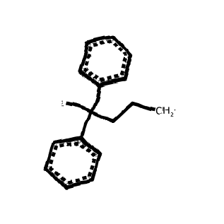 [C]C(CC[CH2])(c1ccccc1)c1ccccc1